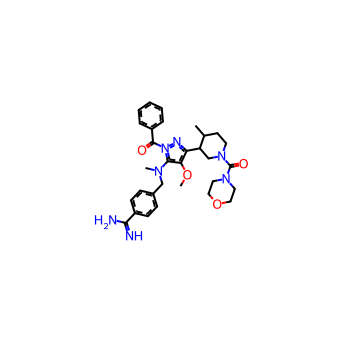 COc1c(C2CN(C(=O)N3CCOCC3)CCC2C)nn(C(=O)c2ccccc2)c1N(C)Cc1ccc(C(=N)N)cc1